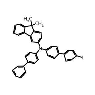 CC1(C)c2ccccc2-c2cc(N(c3ccc(-c4ccccc4)cc3)c3ccc(-c4ccc(I)cc4)cc3)ccc21